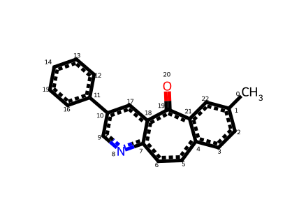 Cc1ccc2ccc3ncc(-c4ccccc4)cc3c(=O)c2c1